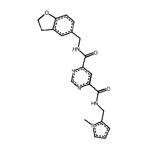 Cn1cccc1CNC(=O)c1cc(C(=O)NCc2ccc3c(c2)CCO3)ncn1